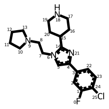 Fc1cc(-c2cn(CCN3CCCC3)c(C3CCNCC3)n2)ccc1Cl